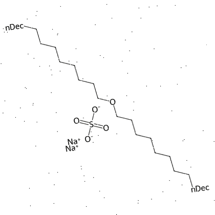 CCCCCCCCCCCCCCCCCCOCCCCCCCCCCCCCCCCCC.O=S(=O)([O-])[O-].[Na+].[Na+]